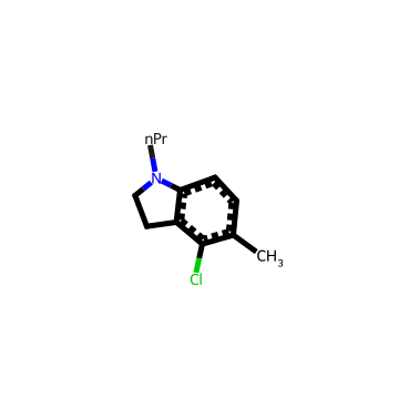 CCCN1CCc2c1ccc(C)c2Cl